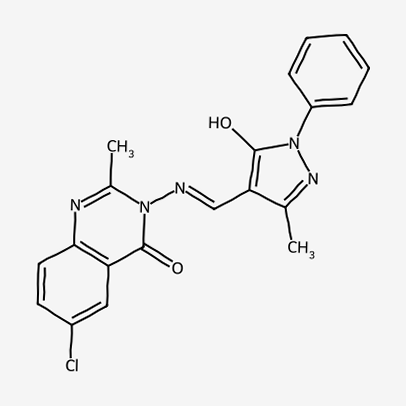 Cc1nn(-c2ccccc2)c(O)c1C=Nn1c(C)nc2ccc(Cl)cc2c1=O